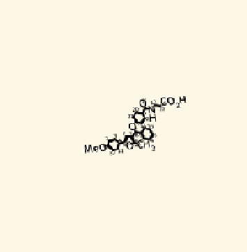 COc1ccc(-c2cc(C(Oc3ccc(C(=O)NCCC(=O)O)cc3)C3CCCCC3)c(C)o2)cc1